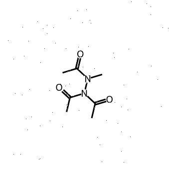 CC(=O)N(C)N(C(C)=O)C(C)=O